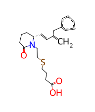 C=C(/C=C/[C@H]1CCCC(=O)N1CCSCCCC(=O)O)Cc1ccccc1